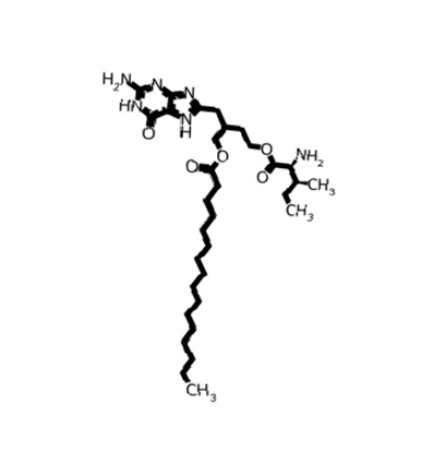 CCCCCCCCCCCCCCCC(=O)OCC(CCOC(=O)[C@@H](N)[C@@H](C)CC)Cc1nc2nc(N)[nH]c(=O)c2[nH]1